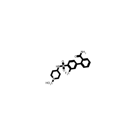 NC(=O)c1ccccc1-c1ccc(S(=O)(=O)NC2CCN(C(=O)O)CC2)c(C(F)(F)F)c1